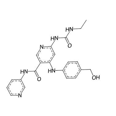 CCNC(=O)Nc1cc(Nc2ccc(CO)cc2)c(C(=O)Nc2cccnc2)cn1